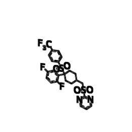 O=S(=O)(CC1CCC(c2cc(F)ccc2F)(S(=O)(=O)c2ccc(C(F)(F)F)cc2)CC1)c1ncccn1